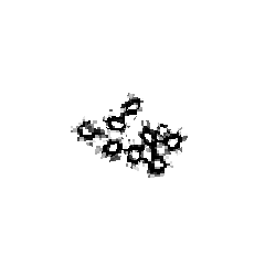 c1ccc(-c2ccc(N(c3ccccc3)c3cccc(-c4ccc5c6ccccc6c6c(ccc7oc8ccccc8c76)c5c4)c3)cc2)cc1